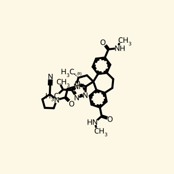 CNC(=O)c1ccc2c(c1)CCc1cc(C(=O)NC)ccc1C2(C[C@@H](C)NCC(=O)N1CCCC1C#N)c1nnc(C(C)C)o1